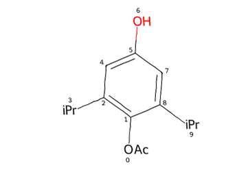 CC(=O)Oc1c(C(C)C)cc(O)cc1C(C)C